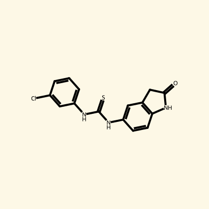 O=C1Cc2cc(NC(=S)Nc3cccc(Cl)c3)ccc2N1